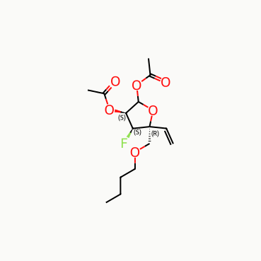 C=C[C@]1(COCCCC)OC(OC(C)=O)[C@H](OC(C)=O)[C@@H]1F